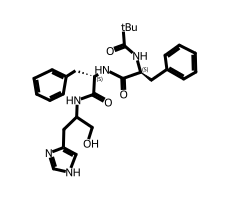 CC(C)(C)C(=O)N[C@@H](Cc1ccccc1)C(=O)N[C@@H](Cc1ccccc1)C(=O)NC(CO)Cc1c[nH]cn1